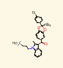 CCCCC1(c2ccc(CC)cc2)Oc2ccc(C(=O)c3c(C)n(CCCC(=O)O)c4ccccc34)cc2O1